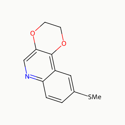 CSc1ccc2ncc3c(c2c1)OCCO3